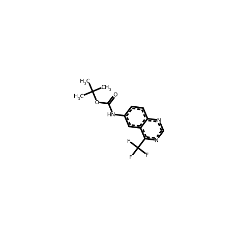 CC(C)(C)OC(=O)Nc1ccc2ncnc(C(F)(F)F)c2c1